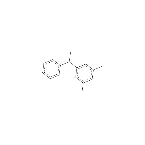 Cc1[c]c(C(C)c2ccccc2)cc(C)c1